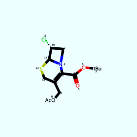 CC(=O)OCC1=C(C(=O)OC(C)(C)C)N2C[C@@H](Cl)C2SC1